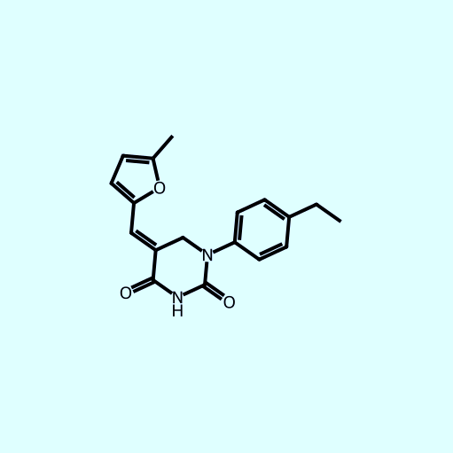 CCc1ccc(N2CC(=Cc3ccc(C)o3)C(=O)NC2=O)cc1